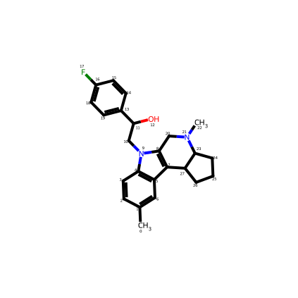 Cc1ccc2c(c1)c1c(n2CC(O)c2ccc(F)cc2)CN(C)C2CCCC12